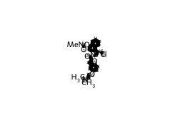 CNC(=O)Oc1cc2c(c3ccccc13)[C@H](CCl)CN2C(=O)c1cc2cc(OCCN(C)C)ccc2o1